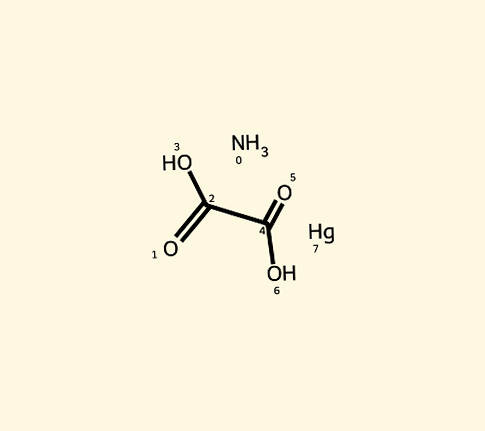 N.O=C(O)C(=O)O.[Hg]